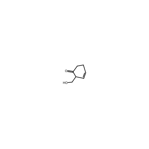 O=C1CCC=CC1CO